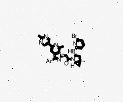 CC(=O)c1nn(CC(=O)N2[C@H](Bc3cccc(Br)n3)C[C@@]3(C)C[C@@H]23)c2c(C)nc(-c3cnc(C)nc3)cc12